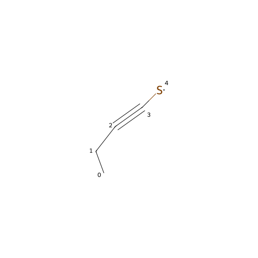 CCC#C[S]